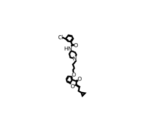 O=C(NC1CCN(CCCCOc2cccc3c2C(=O)C(=CCC2CC2)O3)CC1)c1cccc(Cl)c1